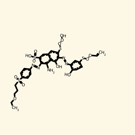 C=COOSc1ccc(O)c(N=Nc2c(SOOO)cc3cc(S(=O)(=O)O)c(N=Nc4ccc(S(=O)(=O)CCCOCC)cc4)c(N)c3c2O)c1